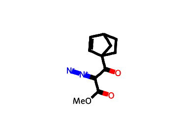 COC(=O)C(=[N+]=[N-])C(=O)C12C=CC(CC1)C2